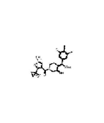 CN/C(=C1/CCN(C(=O)c2cn(C)nc2C2(C)CC2)CC1=N)c1cc(F)c(F)c(F)c1